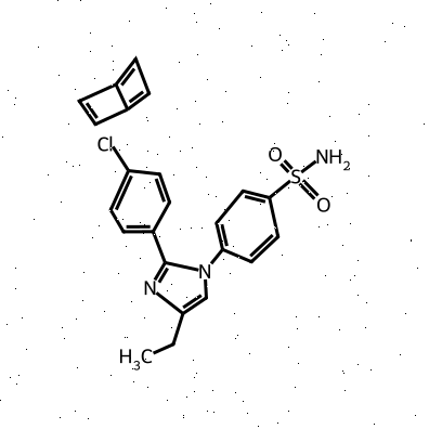 CCc1cn(-c2ccc(S(N)(=O)=O)cc2)c(-c2ccc(Cl)cc2)n1.c1cc2ccc1-2